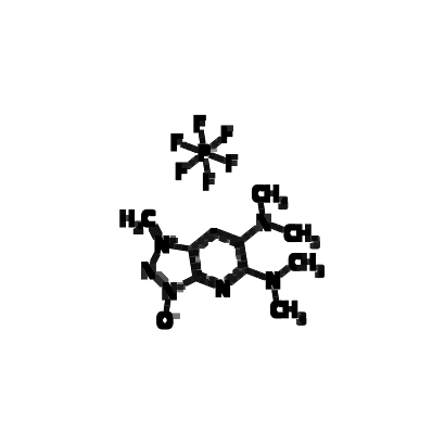 C=[N+]1N=[N+]([O-])c2nc(N(C)C)c(N(C)C)cc21.F[P-](F)(F)(F)(F)F